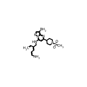 Bc1cnn2c(NC/C(C=C)=C/C=C\N)cc(C3CCN(S(C)(=O)=O)CC3)nc12